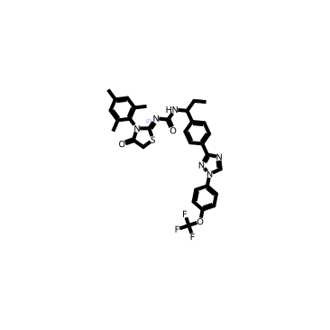 CCC(NC(=O)/N=C1\SCC(=O)N1c1c(C)cc(C)cc1C)c1ccc(-c2ncn(-c3ccc(OC(F)(F)F)cc3)n2)cc1